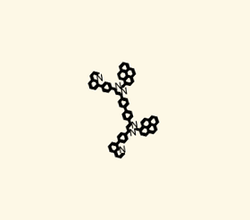 c1cnc2c(-c3ccc(-c4cc(-c5ccc(-c6ccc(-c7cc(-c8ccc(-c9cccc%10cccnc9%10)cc8)nc(-c8ccc9ccc%10cccc%11ccc8c9c%10%11)n7)cc6)cc5)nc(-c5ccc6ccc7cccc8c7c6c5CC8)n4)cc3)cccc2c1